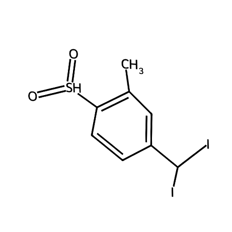 Cc1cc(C(I)I)ccc1[SH](=O)=O